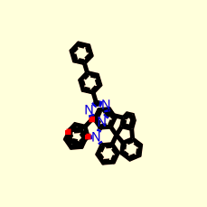 c1ccc(-c2ccc(-c3nc(-c4ccccc4)nc(-c4cccc5c4C4(c6ccccc6-5)c5ccccc5N(c5ccccc5)c5ccccc54)n3)cc2)cc1